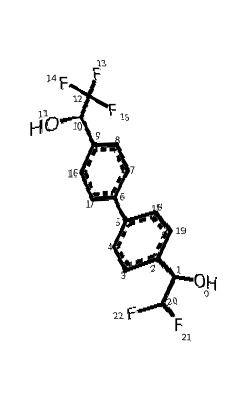 OC(c1ccc(-c2ccc([C@@H](O)C(F)(F)F)cc2)cc1)C(F)F